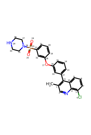 Cc1cnc2c(Cl)cccc2c1-c1cccc(Oc2cccc(S(=O)(=O)N3CCNCC3)c2)c1